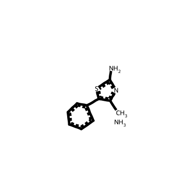 Cc1nc(N)sc1-c1ccccc1.N